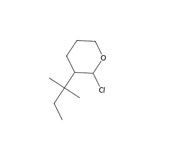 CCC(C)(C)C1CCCOC1Cl